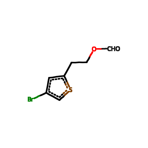 O=COCCc1cc(Br)cs1